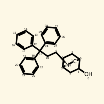 OC1CC2CCC1CN2CCC(c1ccccc1)(c1ccccc1)c1ccccc1